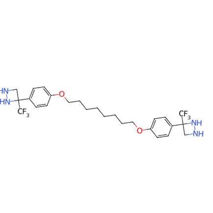 FC(F)(F)C1(c2ccc(OCCCCCCCCOc3ccc(C4(C(F)(F)F)CNN4)cc3)cc2)CNN1